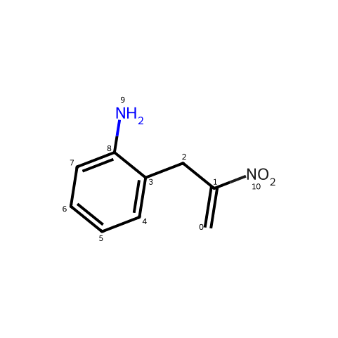 C=C(Cc1ccccc1N)[N+](=O)[O-]